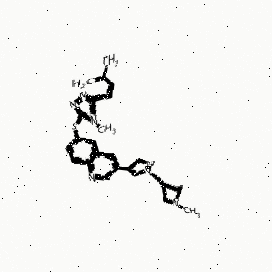 C=C(C)/C=C\c1nnc(Sc2ccc3ncc(-c4cnn(C5CN(C)C5)c4)cc3c2)n1C